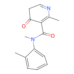 CC1=C(C(=O)N(C)c2ccccc2C)C(=O)CC=N1